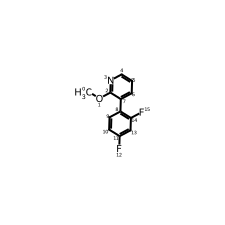 COc1nc[c]cc1-c1ccc(F)cc1F